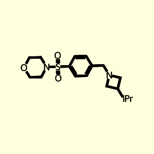 CC(C)C1CN(Cc2ccc(S(=O)(=O)N3CCOCC3)cc2)C1